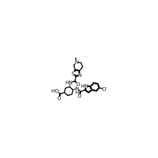 CN1CCc2nc(C(=O)N[C@@H]3CC(C(=O)O)CC[C@@H]3NC(=O)c3cc4cc(Cl)ccc4[nH]3)sc2C1